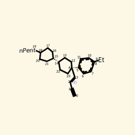 C#C/C=C/[C@]1(c2ccc(CC)cc2)CC[C@@H](C2CCC(CCCCC)CC2)CC1